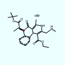 Br.CCOC(=O)C1=C(C)NC(CNC)=C(C(=O)OCC)C1c1ccccc1C=CC(=O)OC(C)(C)C